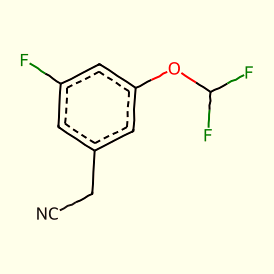 N#CCc1cc(F)cc(OC(F)F)c1